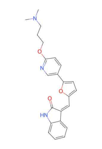 CN(C)CCCOc1ccc(-c2ccc(C=C3C(=O)Nc4ccccc43)o2)cn1